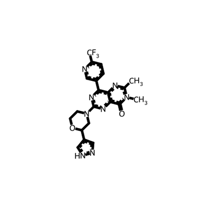 Cc1nc2c(-c3ccc(C(F)(F)F)nc3)nc(N3CCOC(c4cn[nH]c4)C3)nc2c(=O)n1C